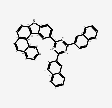 c1ccc2cc(-c3nc(-c4ccc5ccccc5c4)nc(-c4ccc5oc6ccc7ccc8ccccc8c7c6c5c4)n3)ccc2c1